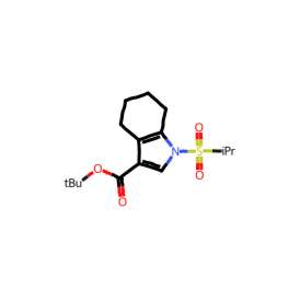 CC(C)S(=O)(=O)n1cc(C(=O)OC(C)(C)C)c2c1CCCC2